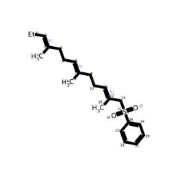 CC/C=C(\C)CC/C=C(\C)CC/C=C(\C)CS(=O)(=O)c1ccccc1